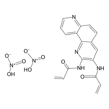 C=CC(=O)Nc1cc2ccc3ncccc3c2nc1NC(=O)C=C.O=[N+]([O-])O.O=[N+]([O-])O